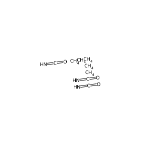 C.C.C.C.C.N=C=O.N=C=O.N=C=O